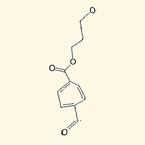 [O]CCCOC(=O)c1ccc([C]=O)cc1